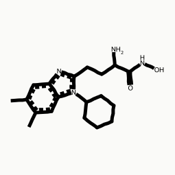 Cc1cc2nc(CCC(N)C(=O)NO)n(C3CCCCC3)c2cc1C